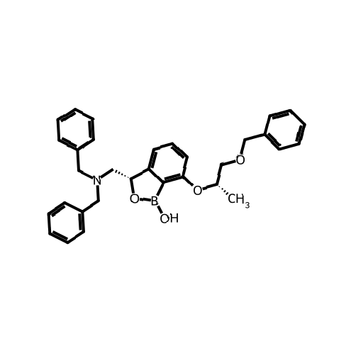 C[C@@H](COCc1ccccc1)Oc1cccc2c1B(O)O[C@@H]2CN(Cc1ccccc1)Cc1ccccc1